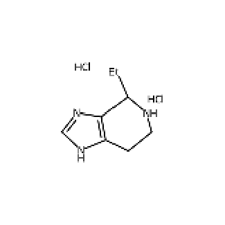 CCC1NCCc2[nH]cnc21.Cl.Cl